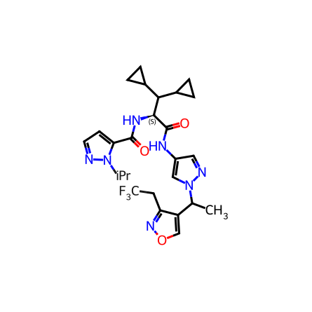 CC(c1conc1CC(F)(F)F)n1cc(NC(=O)[C@@H](NC(=O)c2ccnn2C(C)C)C(C2CC2)C2CC2)cn1